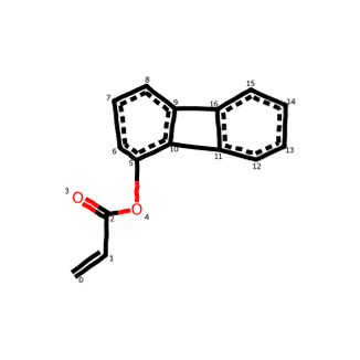 C=CC(=O)Oc1cccc2c1-c1ccccc1-2